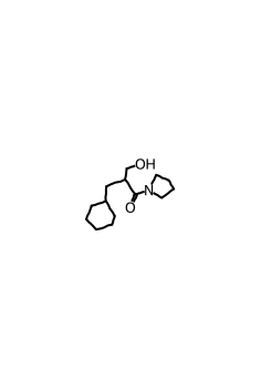 O=C(C(CO)CC1CCCCC1)N1CCCC1